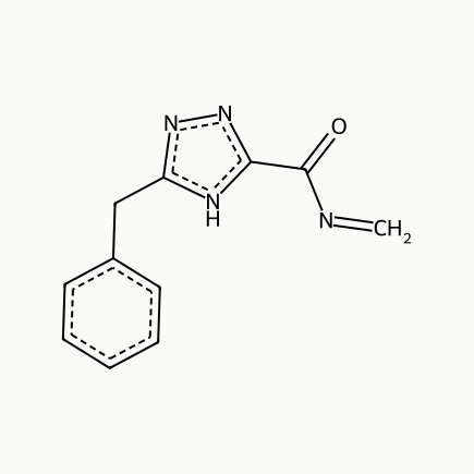 C=NC(=O)c1nnc(Cc2ccccc2)[nH]1